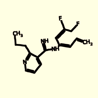 C=C/C=C(\C=C(\F)CF)NC(=N)c1cccnc1CCC